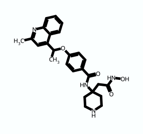 Cc1cc(C(C)Oc2ccc(C(=O)NC3(CC(=O)NO)CCNCC3)cc2)c2ccccc2n1